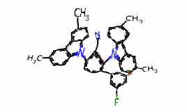 Cc1ccc2c(c1)c1cc(C)ccc1n2-c1ccc(-c2cc(F)cc(F)c2)c(-n2c3ccc(C)cc3c3cc(C)ccc32)c1C#N